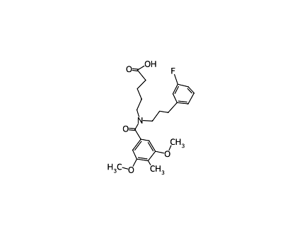 COc1cc(C(=O)N(CCCCC(=O)O)CCCc2cccc(F)c2)cc(OC)c1C